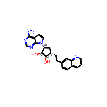 Nc1ncnc2c1ccn2[C@@H]1C[C@H](CCc2ccc3cccnc3c2)[C@@H](O)[C@H]1O